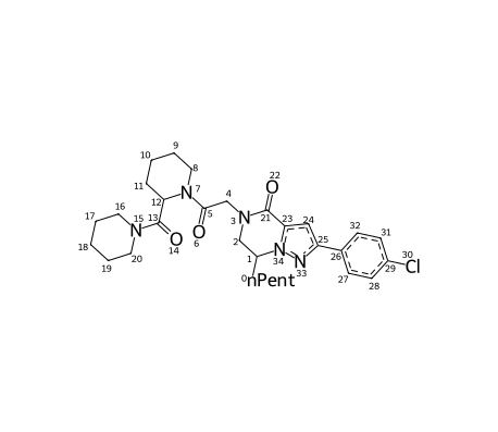 CCCCCC1CN(CC(=O)N2CCCCC2C(=O)N2CCCCC2)C(=O)c2cc(-c3ccc(Cl)cc3)nn21